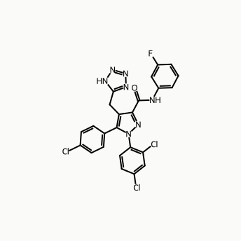 O=C(Nc1cccc(F)c1)c1nn(-c2ccc(Cl)cc2Cl)c(-c2ccc(Cl)cc2)c1Cc1nnn[nH]1